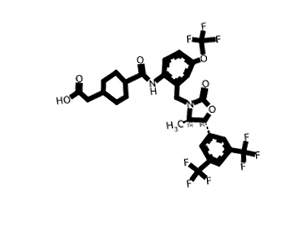 C[C@H]1[C@@H](c2cc(C(F)(F)F)cc(C(F)(F)F)c2)OC(=O)N1Cc1cc(OC(F)(F)F)ccc1NC(=O)C1CCC(CC(=O)O)CC1